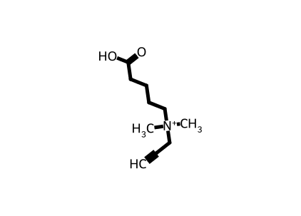 C#CC[N+](C)(C)CCCCC(=O)O